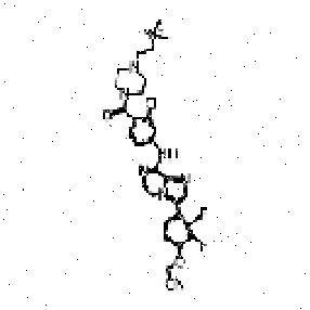 C[N+](C)(C)CCN1CCN(C(=O)c2ccc(Nc3nccn4c(-c5ccc(OCC#N)c(F)c5F)cnc34)cc2Cl)CC1